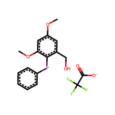 COc1cc(CO)c([I+]c2ccccc2)c(OC)c1.O=C([O-])C(F)(F)F